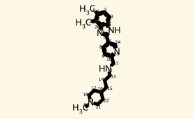 Cc1ccc2[nH]c(-c3ccc(CNCCCC4CCN(C)CC4)nc3)nc2c1C